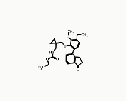 CCOC(=O)NCC1(COc2c(-c3cccc4c3CCC4=O)ccc(CC)c2OC)CC1